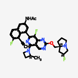 C#Cc1c(F)ccc2cc(NC(C)=O)cc(-c3nc(N4CC[C@@H]4C)c4cnc(OC[C@@]56CCCN5C[C@H](F)C6)nc4c3F)c12